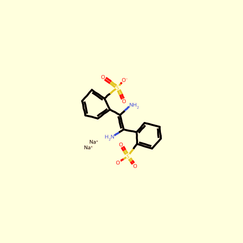 NC(=C(N)c1ccccc1S(=O)(=O)[O-])c1ccccc1S(=O)(=O)[O-].[Na+].[Na+]